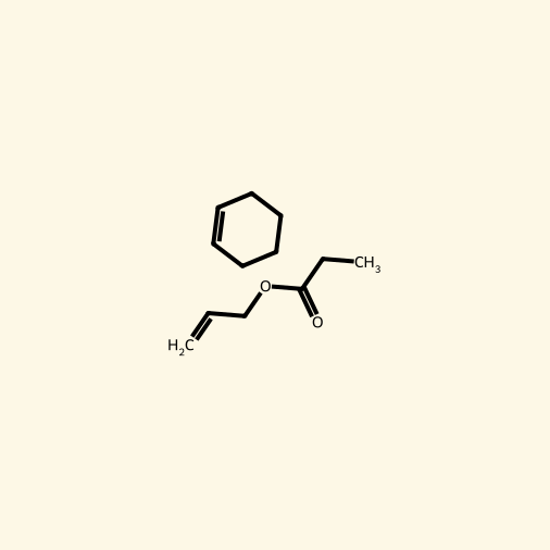 C1=CCCCC1.C=CCOC(=O)CC